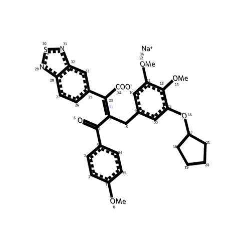 COc1ccc(C(=O)/C(Cc2cc(OC)c(OC)c(OC3CCCC3)c2)=C(/C(=O)[O-])c2ccc3nsnc3c2)cc1.[Na+]